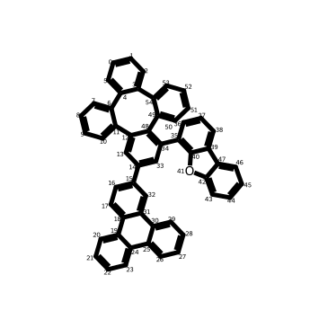 c1ccc2c(c1)-c1ccccc1-c1cc(-c3ccc4c5ccccc5c5ccccc5c4c3)cc(-c3cccc4c3oc3ccccc34)c1-c1ccccc1-2